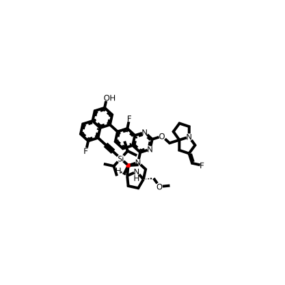 COC[C@@]12CC[C@@H](CN(c3nc(OCC45CCCN4C/C(=C\F)C5)nc4c(F)c(-c5cc(O)cc6ccc(F)c(C#C[Si](C(C)C)(C(C)C)C(C)C)c56)ccc34)C1)N2